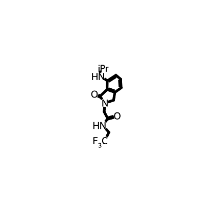 CC(C)Nc1cccc2c1C(=O)N(CC(=O)NCC(F)(F)F)C2